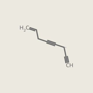 C#C[CH]C#CCC=C